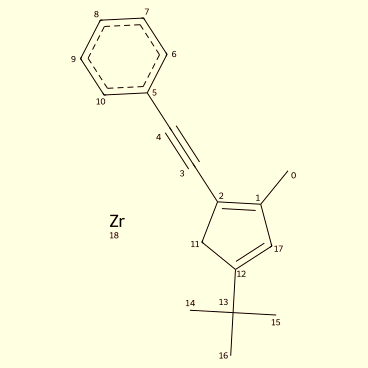 CC1=C(C#Cc2ccccc2)CC(C(C)(C)C)=C1.[Zr]